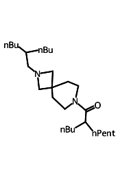 CCCCCC(CCCC)C(=O)N1CCC2(CC1)CN(CC(CCCC)CCCC)C2